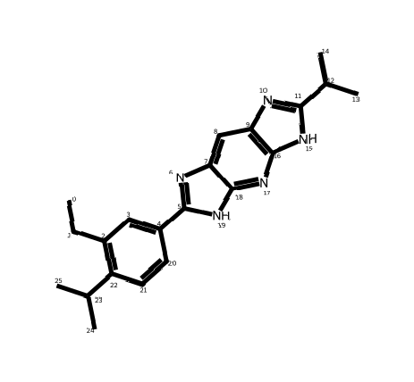 CCc1cc(-c2nc3cc4nc(C(C)C)[nH]c4nc3[nH]2)ccc1C(C)C